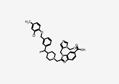 CCn1cncc1Cn1c(CN2CCC(C(F)c3cccc(COc4ccc(C)cc4Cl)c3)CC2)nc2ccc(C(=O)O)cc21